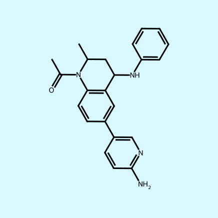 CC(=O)N1c2ccc(-c3ccc(N)nc3)cc2C(Nc2ccccc2)CC1C